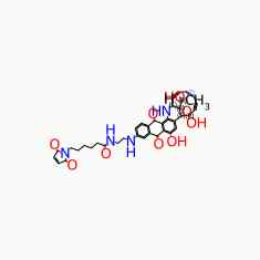 C[C@@H](O)[C@@]12O[C@]13c1cc(O)c4c(c1N[C@H]2C#C/C=C\C#C[C@H]3O)C(=O)c1ccc(NCCNC(=O)CCCCCN2C(=O)C=CC2=O)cc1C4=O